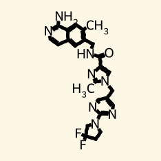 Cc1cc2c(N)nccc2cc1CNC(=O)c1cn(Cc2cnc(N3CCC(F)(F)C3)nc2)c(C)n1